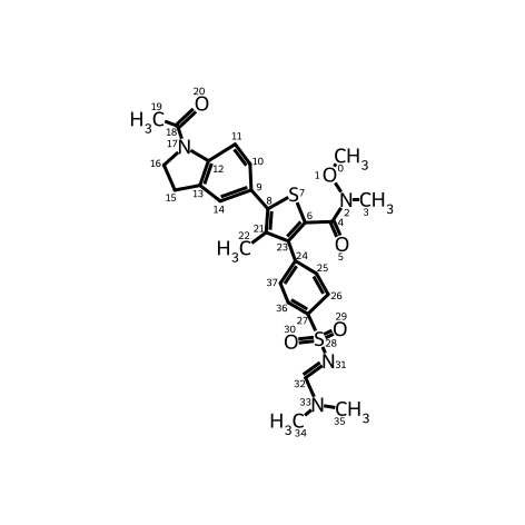 CON(C)C(=O)c1sc(-c2ccc3c(c2)CCN3C(C)=O)c(C)c1-c1ccc(S(=O)(=O)N=CN(C)C)cc1